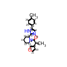 Cc1ccc(-c2cnc(C3CCCCN3C(=O)C(C)c3ccoc3)[nH]2)cc1